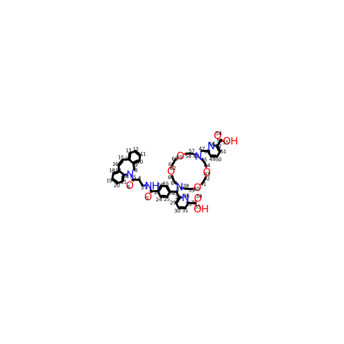 O=C(NCCC(=O)N1Cc2ccccc2/C=C\c2ccccc21)c1ccc(C(c2cccc(C(=O)O)n2)N2CCOCCOCCN(Cc3cccc(C(=O)O)n3)CCOCCOCC2)cc1